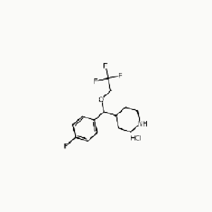 Cl.Fc1ccc(C(OCC(F)(F)F)C2CCNCC2)cc1